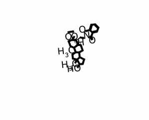 CC12CCC3C(CC[C@H]4[C@H](CCN5C(=O)c6ccccc6C5=O)C5(CCC34C)OCCO5)C1CCC2O